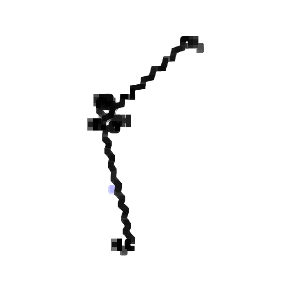 CCCCCCCC/C=C/CCCCCCCC(=O)N[C@@H](CO)[C@H](O)[C@H](O)CCCCCCCCCCCCCC